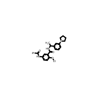 CCOc1ccc(NC(=O)C(C)C)cc1C(=O)NC(C)c1cccc(N2CCCC2)c1